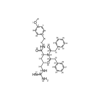 COc1ccc(CCNC(=O)C(CCCNC(=N)N)N(C(=O)Cc2ccccc2)C(=O)Cc2ccccc2)cc1